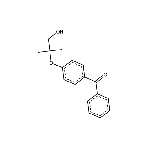 CC(C)(CO)Oc1ccc(C(=O)c2ccccc2)cc1